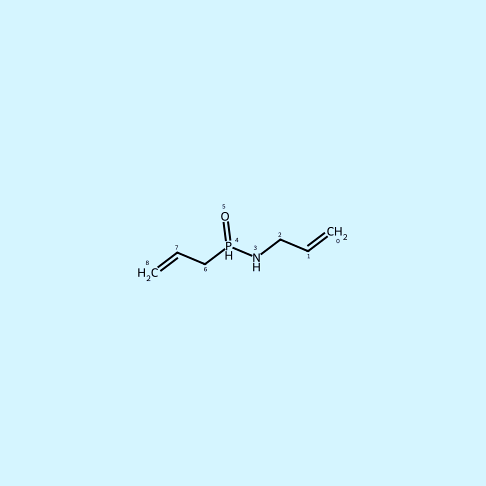 C=CCN[PH](=O)CC=C